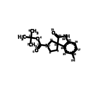 CC(C)(C)OC(=O)N1CCC2(C1)C(=O)Nc1ccc(I)cc12